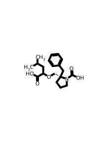 CC(C)CC(OC[C@@]1(Cc2ccccc2)CCCN1C(=O)O)C(=O)O